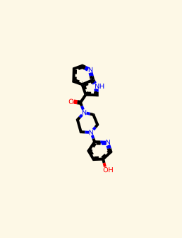 O=C(c1c[nH]c2ncccc12)N1CCN(c2ccc(O)cn2)CC1